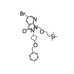 C[Si](C)(C)CCOCn1c2ncc(Br)cc2c(=O)n1[C@H]1C[C@H](OCc2ccccc2)C1